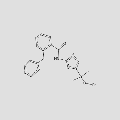 CC(C)OC(C)(C)c1csc(NC(=O)c2ccccc2Cc2ccncc2)n1